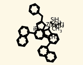 Cc1ccc(-c2cccc3ccccc23)c2c1[CH]([Zr]([CH3])([CH3])(=[SiH2])[CH]1C(C(C)C)=Cc3c(-c4cccc5ccccc45)cccc31)C(Cc1ccccc1)=C2.Cl.Cl